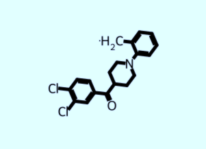 [CH2]c1ccccc1N1CCC(C(=O)c2ccc(Cl)c(Cl)c2)CC1